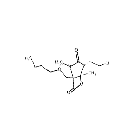 CCCCOCC12C(=O)O[C@]1(C)[C@@H](CCCl)C(=O)N2C